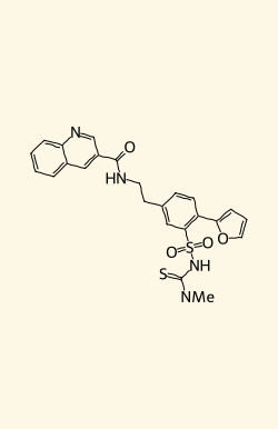 CNC(=S)NS(=O)(=O)c1cc(CCNC(=O)c2cnc3ccccc3c2)ccc1-c1ccco1